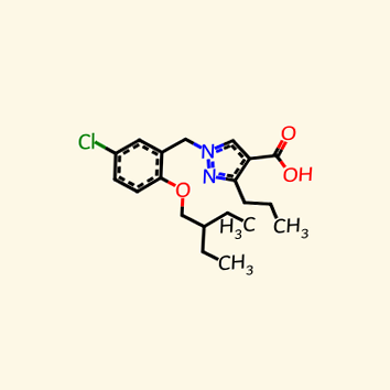 CCCc1nn(Cc2cc(Cl)ccc2OCC(CC)CC)cc1C(=O)O